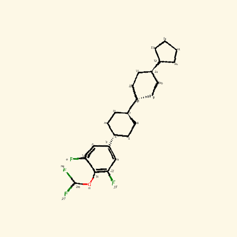 Fc1cc([C@H]2CC[C@H]([C@H]3CC[C@H](C4CCCC4)CC3)CC2)cc(F)c1OC(F)F